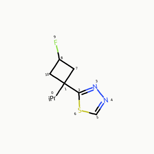 CC(C)C1(c2nncs2)CC(F)C1